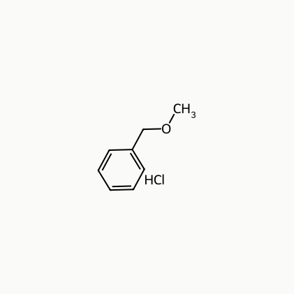 COCc1ccccc1.Cl